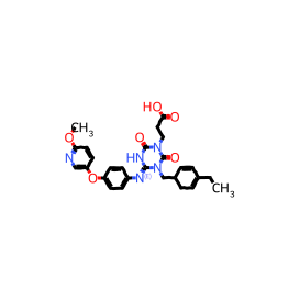 CCC1=CCC(Cn2c(=O)n(CCC(=O)O)c(=O)[nH]/c2=N\c2ccc(Oc3ccc(OC)nc3)cc2)C=C1